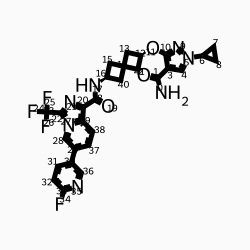 NC(=O)c1cn(C2CC2)nc1O[C@H]1CC2(C[C@H](NC(=O)c3nc(C(F)(F)F)n4cc(-c5ccc(F)nc5)ccc34)C2)C1